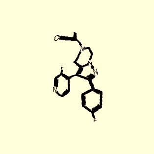 CC(=O)N1CCn2nc(-c3ccc(F)cc3)c(-c3ccncc3F)c2C1